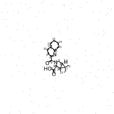 CC1(C)[C@@H]2CN(C(=O)c3ccc4ccccc4n3)[C@H](C(=O)O)[C@]21C